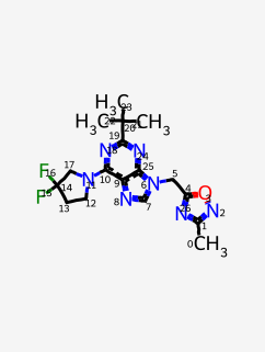 Cc1noc(Cn2cnc3c(N4CCC(F)(F)C4)nc(C(C)(C)C)nc32)n1